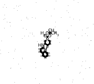 CC(C)(C)OC(=O)N1CC[C@@H](F)[C@@H](Nc2ccc3ccccc3n2)C1